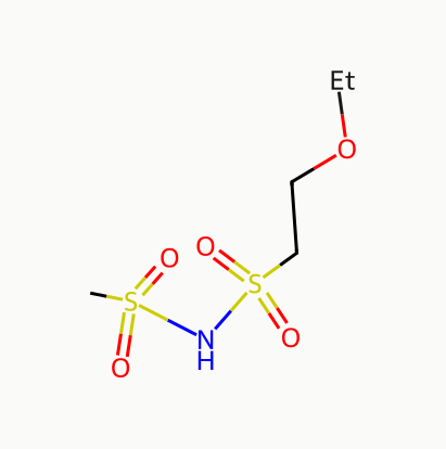 CCOCCS(=O)(=O)NS(C)(=O)=O